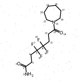 NC(=O)CCC(F)(F)C(F)(F)CCC(=O)N1CCCCCC1